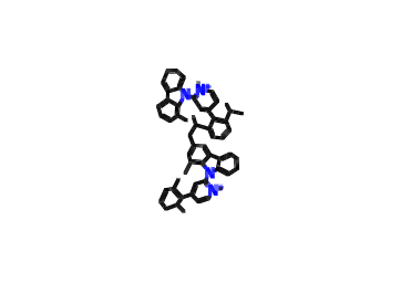 CC1=C(c2cc[n+](C)c(-n3c4ccccc4c4cc(CC(C)c5cccc(C(C)C)c5-c5cc[n+](C)c(-n6c7ccccc7c7cccc(C)c76)c5)cc(C)c43)c2)C(C)CC=C1